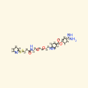 N=C(N)c1ccc(OC(=O)c2ccc(NCCOCCOCCNC(=O)CCSSc3ccccn3)cc2)cc1